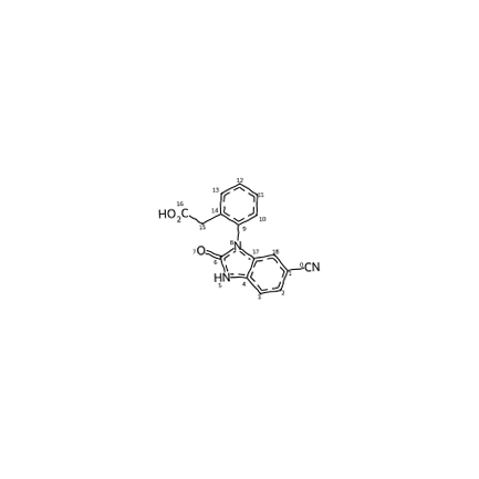 N#Cc1ccc2[nH]c(=O)n(-c3ccccc3CC(=O)O)c2c1